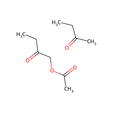 CCC(=O)COC(C)=O.CCC(C)=O